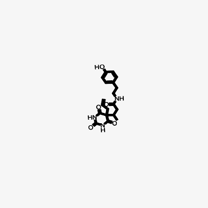 C=CCC1(C(C)CC(=O)NCCc2ccc(O)cc2)C(=O)NC(=O)NC1=O